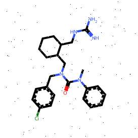 CN(C(=O)N(Cc1ccc(Cl)cc1)CC1CCCCC1CNC(=N)N)c1ccccc1